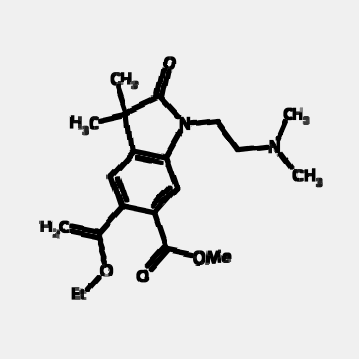 C=C(OCC)c1cc2c(cc1C(=O)OC)N(CCN(C)C)C(=O)C2(C)C